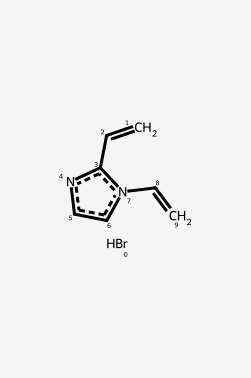 Br.C=Cc1nccn1C=C